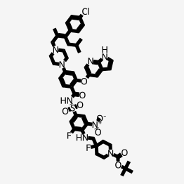 CC(CN1CCN(c2ccc(C(=O)NS(=O)(=O)c3cc(F)c(NCC4(F)CCN(C(=O)OC(C)(C)C)CC4)c([N+](=O)[O-])c3)c(Oc3cnc4[nH]ccc4c3)c2)CC1)=C(CC(C)C)c1ccc(Cl)cc1